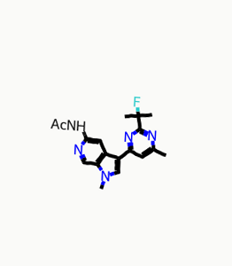 CC(=O)Nc1cc2c(-c3cc(C)nc(C(C)(C)F)n3)cn(C)c2cn1